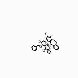 O=C1c2c(OCc3ccccc3)c(=O)ccn2N([C@H]2c3ccccc3SCc3c2ccc(F)c3F)CC12CCC2